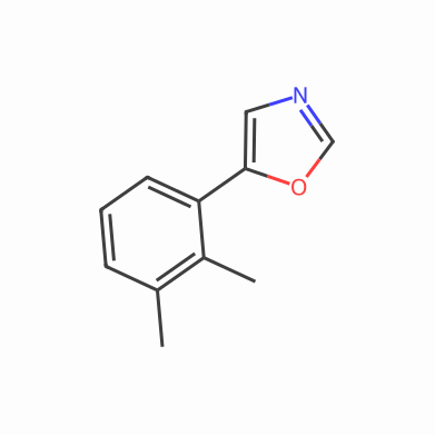 Cc1cccc(-c2cnco2)c1C